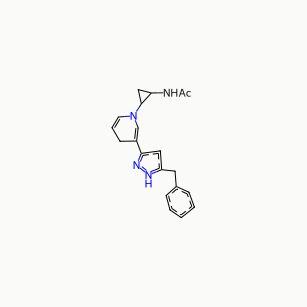 CC(=O)NC1CC1N1C=CCC(c2cc(Cc3ccccc3)[nH]n2)=C1